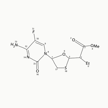 CCC(C(=O)OC)C1OC(n2cc(F)c(N)nc2=O)CS1